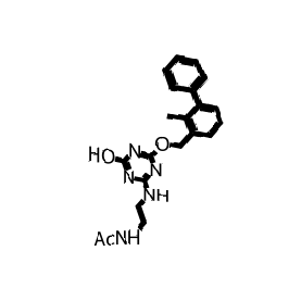 CC(=O)NCCNc1nc(O)nc(OCc2cccc(-c3ccccc3)c2C)n1